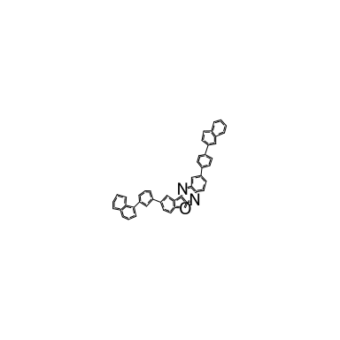 c1cc(-c2ccc3oc4nc5ccc(-c6ccc(-c7ccc8ccccc8c7)cc6)cc5nc4c3c2)cc(-c2cccc3ccccc23)c1